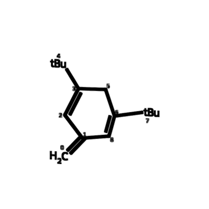 C=C1C=C(C(C)(C)C)CC(C(C)(C)C)=C1